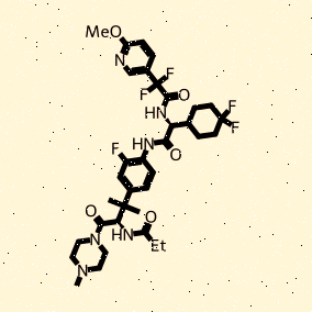 CCC(=O)N[C@@H](C(=O)N1CCN(C)CC1)C(C)(C)c1ccc(NC(=O)[C@@H](NC(=O)C(F)(F)c2ccc(OC)nc2)C2CCC(F)(F)CC2)c(F)c1